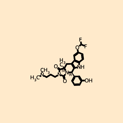 CN(C)CCCN1C(=O)N2[C@H](c3cccc(O)c3)c3[nH]c4ccc(OC(F)F)cc4c3C[C@@]2(C)C1=O